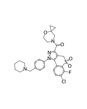 O=C(c1nn(-c2ccc(CN3CCCCC3)cc2)c2c1CS(=O)(=O)c1c-2ccc(Cl)c1F)N1CCOC2(CC2)C1